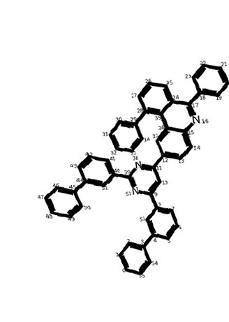 c1ccc(-c2cccc(-c3cc(-c4ccc5nc(-c6ccccc6)c6cccc(-c7ccccc7)c6c5c4)nc(-c4cccc(-c5ccccc5)c4)n3)c2)cc1